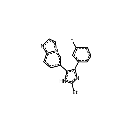 CCc1nc(-c2cccc(F)c2)c(-c2ccc3nccn3c2)[nH]1